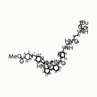 COC(=O)C1CCN(Cc2ccc(C(=O)Nc3cccc(-c4cccc(NC(=O)c5ccc(CNCCNC(=O)CCCNC(=O)OC(C)(C)C)cn5)c4C)c3Cl)nc2)CC1